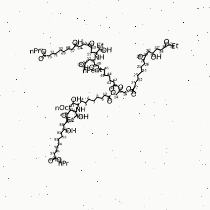 CCCCCCCCC(O)C(CCCCCCCC(=O)OCC(COC(=O)CCCCCCCC1OC1CC(O)CCC1OC1CC)OC(=O)CCCCCCCC(O)C(CC1OC1CCCCC)NC(CC1OC1CCC(O)CCCCCCCC(=O)OCCC)C(O)CC)NC(CC1OC1CCC(O)CCCCCCCC(=O)OCCC)C(O)CC